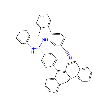 N#Cc1ccc(-c2ccccc2CNC(Nc2ccccc2)c2ccc(-c3c4ccccc4cc4c3ccc3ccccc34)cc2)cc1